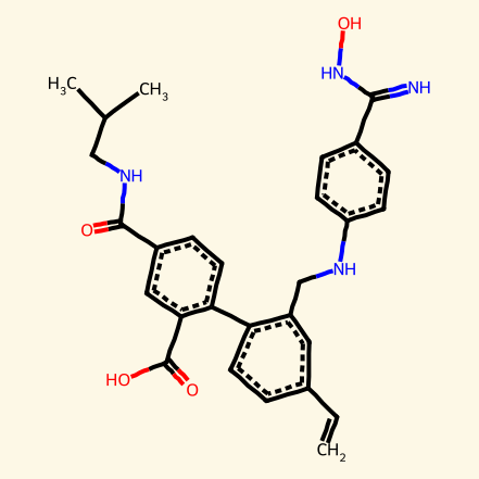 C=Cc1ccc(-c2ccc(C(=O)NCC(C)C)cc2C(=O)O)c(CNc2ccc(C(=N)NO)cc2)c1